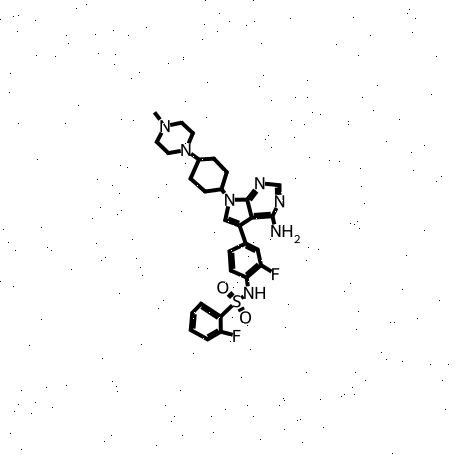 CN1CCN(C2CCC(n3cc(-c4ccc(NS(=O)(=O)c5ccccc5F)c(F)c4)c4c(N)ncnc43)CC2)CC1